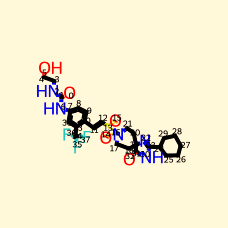 O=C(NCCO)Nc1ccc(C=CS(=O)(=O)N2CCC3(CC2)N=C(C2CCCCC2)NC3=O)c(C(F)(F)F)c1